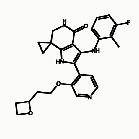 Cc1c(F)cccc1Nc1c(-c2ccncc2OCCC2CCO2)[nH]c2c1C(=O)NCC21CC1